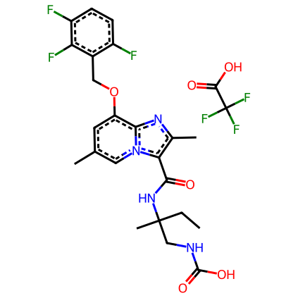 CCC(C)(CNC(=O)O)NC(=O)c1c(C)nc2c(OCc3c(F)ccc(F)c3F)cc(C)cn12.O=C(O)C(F)(F)F